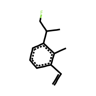 C=Cc1cccc([C](C)CF)c1C